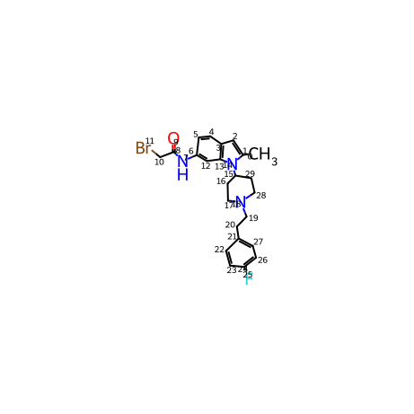 Cc1cc2ccc(NC(=O)CBr)cc2n1C1CCN(CCc2ccc(F)cc2)CC1